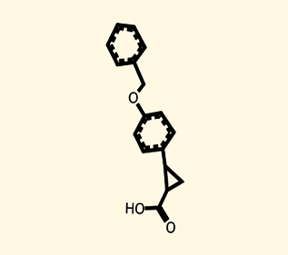 O=C(O)C1CC1c1ccc(OCc2ccccc2)cc1